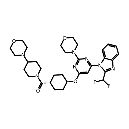 O=C([C@H]1CC[C@H](Oc2cc(-n3c(C(F)F)nc4ccccc43)nc(N3CCOCC3)n2)CC1)N1CCC(N2CCOCC2)CC1